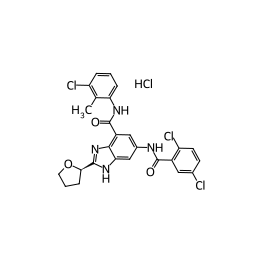 Cc1c(Cl)cccc1NC(=O)c1cc(NC(=O)c2cc(Cl)ccc2Cl)cc2[nH]c([C@H]3CCCO3)nc12.Cl